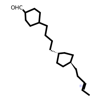 C/C=C/CC[C@H]1CC[C@H](CCCCC2CCC(C=O)CC2)CC1